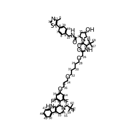 Cc1ncsc1-c1ccc(CNC(=O)[C@@H]2C[C@@H](O)CN2C(=O)C(NC(=O)COCCCCCOCCCOc2cc(F)c([C@@H]3c4[nH]c5ccccc5c4C[C@@H](C)N3CC(C)(C)F)c(F)c2)C(C)(C)C)cc1